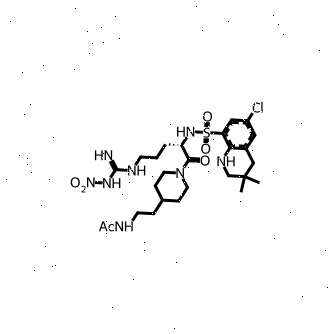 CC(=O)NCCC1CCN(C(=O)[C@H](CCCNC(=N)N[N+](=O)[O-])NS(=O)(=O)c2cc(Cl)cc3c2NCC(C)(C)C3)CC1